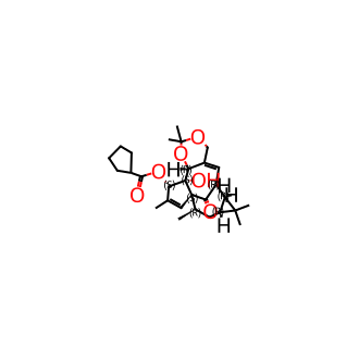 CC1=C[C@]23C(=O)[C@@H](C=C4COC(C)(C)O[C@H]4[C@]2(O)[C@H]1OC(=O)C1CCCC1)[C@H]1[C@@H](C[C@H]3C)C1(C)C